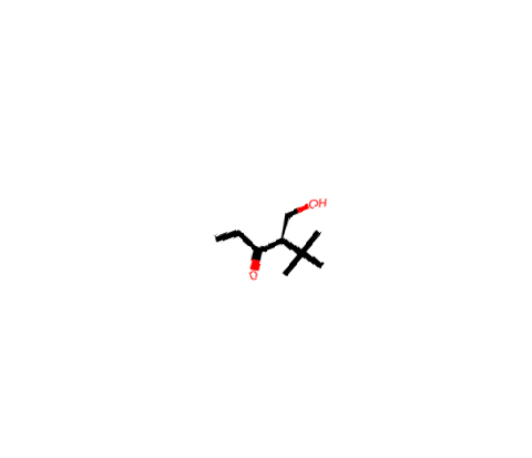 CCC(=O)[C@@H](CO)C(C)(C)C